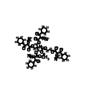 CCOC(=NC(COC(=O)C(=[N+]=[N-])C(=O)C1CCCCC1)(COC(=O)C(=[N+]=[N-])C(=O)C1CCCCC1)COC(=O)C(=[N+]=[N-])C(=O)C1CCCCC1)OCCOC(=O)C(=[N+]=[N-])C(=O)C1CCCCC1